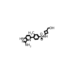 Cc1cc(S(=O)(=O)NC2CC(CO)C2)ccc1-c1ccc2[nH]nc(N)c2n1